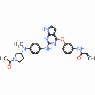 C=CC(=O)Nc1cccc(Oc2nc(Nc3ccc(N(C)[C@H]4CCN(C(C)=O)C4)cc3)nc3[nH]ccc23)c1